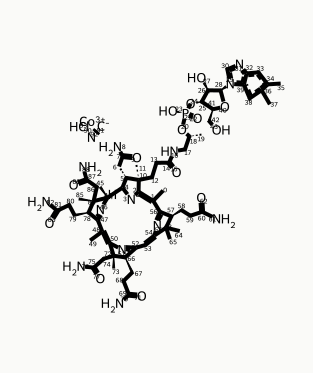 C/C1=C2/[N-][C@H]([C@H](CC(N)=O)[C@@]2(C)CCC(=O)NC[C@@H](C)O[P@@](=O)(O)O[C@@H]2[C@@H](O)[C@@H](n3cnc4cc(C)c(C)cc43)O[C@H]2CO)[C@]2(C)N=C(/C(C)=C3N=C(/C=C4N=C1[C@@H](CCC(N)=O)C\4(C)C)[C@@H](CCC(N)=O)[C@]\3(C)CC(N)=O)[C@@H](CCC(N)=O)[C@]2(C)CC(N)=O.Cl.[C-]#N.[Co+3]